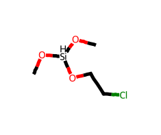 CO[SiH](OC)OCCCl